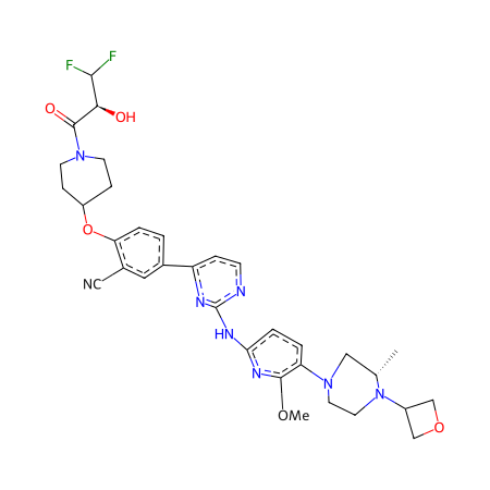 COc1nc(Nc2nccc(-c3ccc(OC4CCN(C(=O)[C@H](O)C(F)F)CC4)c(C#N)c3)n2)ccc1N1CCN(C2COC2)[C@@H](C)C1